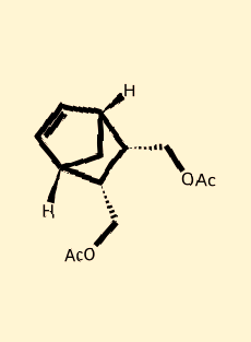 CC(=O)OC[C@@H]1[C@H](COC(C)=O)[C@@H]2C=C[C@H]1C2